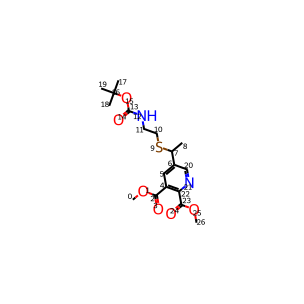 COC(=O)c1cc(C(C)SCCNC(=O)OC(C)(C)C)cnc1C(=O)OC